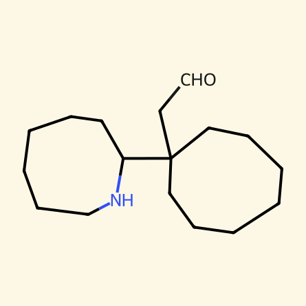 O=CCC1(C2CCCCCCN2)CCCCCCC1